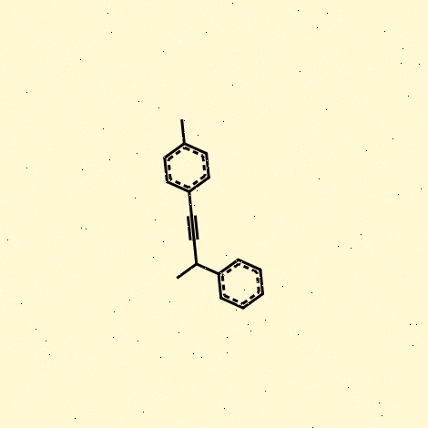 Cc1ccc(C#CC(C)c2ccccc2)cc1